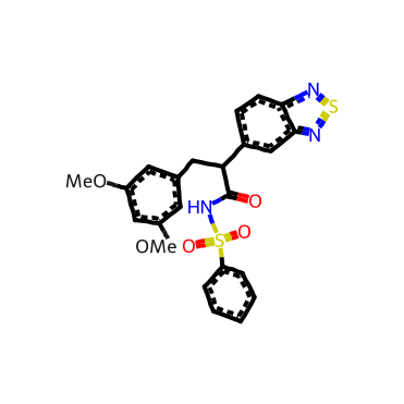 COc1cc(CC(C(=O)NS(=O)(=O)c2ccccc2)c2ccc3nsnc3c2)cc(OC)c1